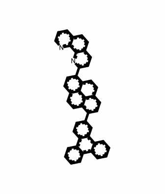 c1cnc2c(c1)ccc1ccc(-c3ccc4ccc5c(-c6ccc7c8ccccc8c8ccccc8c7c6)ccc6ccc3c4c65)nc12